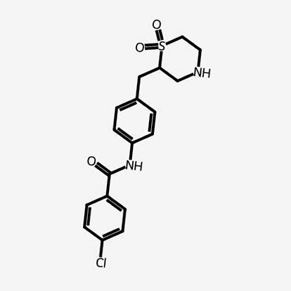 O=C(Nc1ccc(CC2CNCCS2(=O)=O)cc1)c1ccc(Cl)cc1